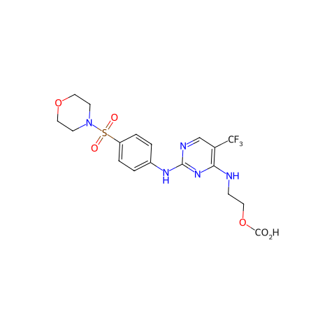 O=C(O)OCCNc1nc(Nc2ccc(S(=O)(=O)N3CCOCC3)cc2)ncc1C(F)(F)F